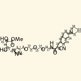 CO[C@H]1O[C@H](Cn2cc(COCCOCCOCCNC(=O)/C(C#N)=C/c3ccc4cc(N5CCCCC5)ccc4c3)nn2)[C@@H](O)[C@H](C)[C@H]1O